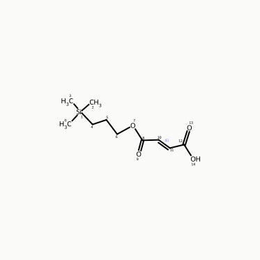 C[Si](C)(C)CCCOC(=O)/C=C/C(=O)O